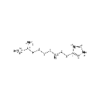 NC(CCCCNCCc1c[nH]cn1)C(=O)O